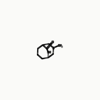 CN1CC2CCCC(C1)C(=O)N2